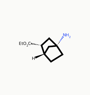 CCOC(=O)[C@@H]1[CH][C@@]2(N)CC[C@H]1C2